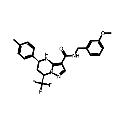 COc1cccc(CNC(=O)c2cnn3c2N[C@H](c2ccc(C)cc2)C[C@@H]3C(F)(F)F)c1